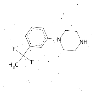 CC(F)(F)c1cccc(N2CCNCC2)c1